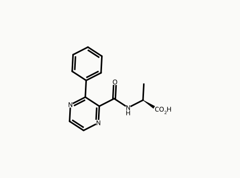 C[C@H](NC(=O)c1nccnc1-c1ccccc1)C(=O)O